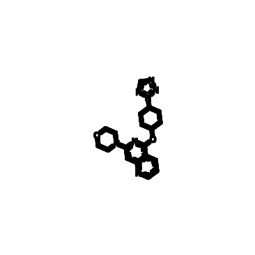 c1cnc2cc(N3CCOCC3)nc(OC3CCC(n4ncnn4)CC3)c2c1